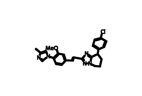 COc1cc(/C=C/c2nc3n(n2)CCCC3c2ccc(Cl)cc2)ccc1-n1cnc(C)c1